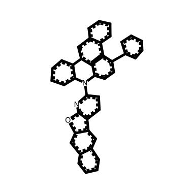 c1ccc(-c2ccc(N(c3ccc4c(n3)oc3cc5ccccc5cc34)c3ccccc3-c3ccc4ccccc4c3)cc2)cc1